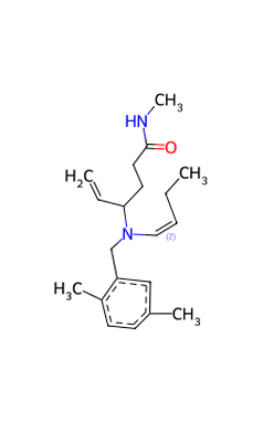 C=CC(CCC(=O)NC)N(/C=C\CC)Cc1cc(C)ccc1C